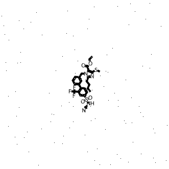 CCCCc1nc(SC)c(C(=O)OCC)n1Cc1cccc(-c2ccc(S(=O)(=O)NC#N)cc2C(F)(F)F)c1